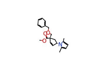 COC(=O)[C@@]1(COCc2ccccc2)C=C[C@@H](n2c(C)ccc2C)C1